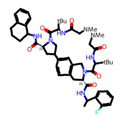 CNCC(=O)NC(C(=O)N1Cc2cc(C3C[C@@H](C(=O)NC4CCCc5ccccc54)N(C(=O)C(NC(=O)CNC)C(C)(C)C)C3)ccc2C[C@H]1C(=O)NC(C)c1ccccc1F)C(C)(C)C